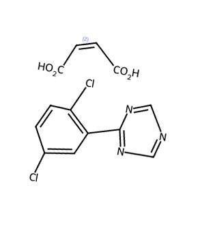 Clc1ccc(Cl)c(-c2ncncn2)c1.O=C(O)/C=C\C(=O)O